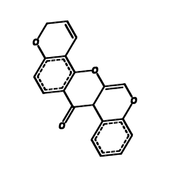 O=C1c2ccc3c(c2OC2=COc4ccccc4C12)C=CCO3